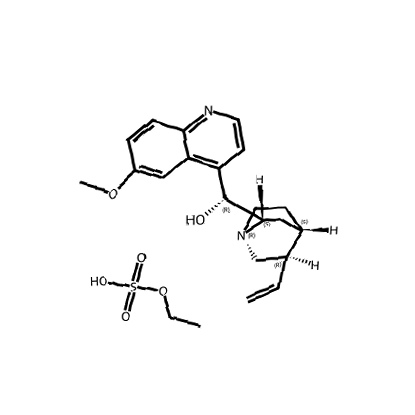 C=C[C@H]1C[N@]2CC[C@H]1C[C@H]2[C@H](O)c1ccnc2ccc(OC)cc12.CCOS(=O)(=O)O